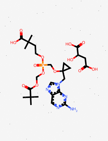 CC(C)(C)C(=O)OCOP(=O)(COC1(Cn2cnc3cnc(N)nc32)CC1)OCCC(C)(C)C(=O)O.O=C(O)CC(O)C(=O)O